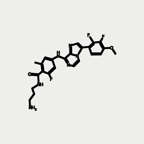 COc1ccc(-c2cnc3c(Nc4cc(C)c(C(=O)NCCCN)c(F)c4)nccn23)c(F)c1F